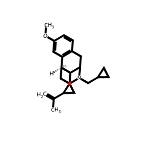 C=C(C)C1CC1C1C2Cc3ccc(OC)cc3[C@@H]1CCN2CC1CC1